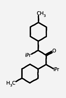 CC1CCC(C(C(=O)C(C(C)C)C2CCC(C)CC2)C(C)C)CC1